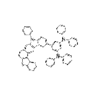 c1ccc(N(c2ccccc2)c2cc(-c3ccc4c(c3)c3cc5c(ccc6sc7ccccc7c65)cc3n4-c3ccccc3)cc(N(c3ccccc3)c3ccccc3)c2)cc1